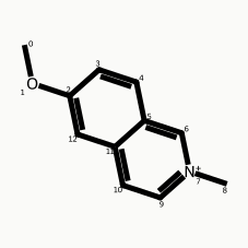 COc1ccc2c[n+](C)ccc2c1